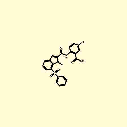 Cn1c(C(=O)Nc2ccc(Cl)cc2C(=O)O)cc2cccc(S(=O)(=O)c3ccccc3)c21